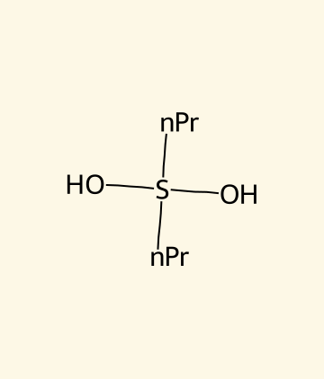 CCCS(O)(O)CCC